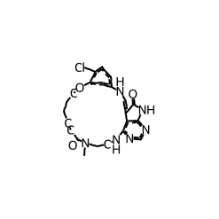 CN1CCNc2ncnc3c2/C(=C/Nc2ccc(Cl)c(c2)OCCCCCC1=O)C(=O)N3